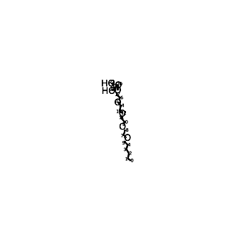 CCCCCCOCCOCCOCCOCCOP(=O)(O)O